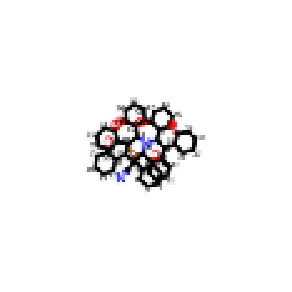 N#CC1(C2CCCCC2=O)C(C2CCCCC2=O)C2(C3CCCCC3=O)SC13c1ccccc1C(C1CCCCC1=O)C(C1CCCCC1=O)N3C2C1CCCCC1=O